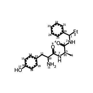 CCC(NC(=O)[C@@H](C)NC(=O)C(N)Cc1ccc(O)cc1)c1ccccc1